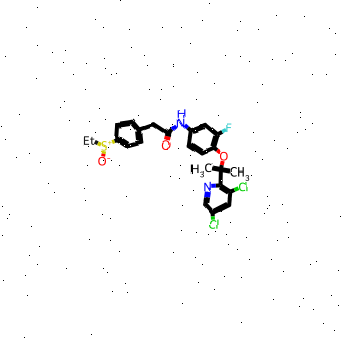 CC[S+]([O-])c1ccc(CC(=O)Nc2ccc(OC(C)(C)c3ncc(Cl)cc3Cl)c(F)c2)cc1